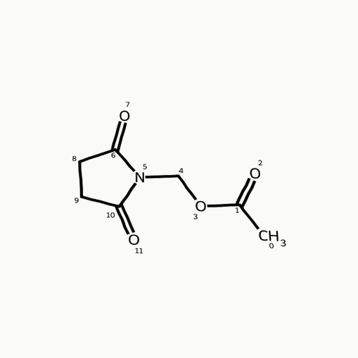 CC(=O)OCN1C(=O)CCC1=O